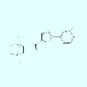 O=C(N[C@@H]1C[C@H]2CC[C@@H]1N2)c1ccc(-c2cccc(Br)c2)o1